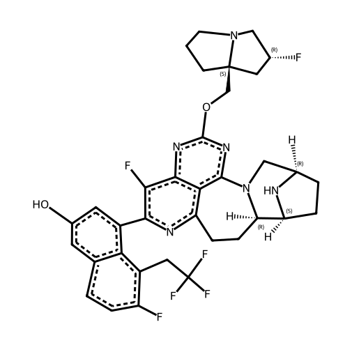 Oc1cc(-c2nc3c4c(nc(OC[C@@]56CCCN5C[C@H](F)C6)nc4c2F)N2C[C@H]4CC[C@H](N4)[C@H]2CC3)c2c(CC(F)(F)F)c(F)ccc2c1